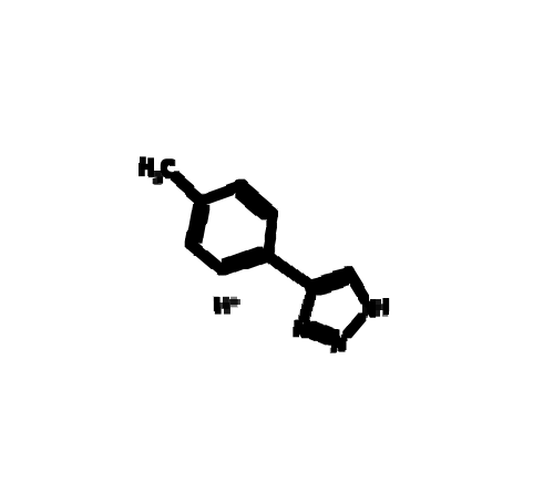 Cc1ccc(-c2c[nH]nn2)cc1.[H+]